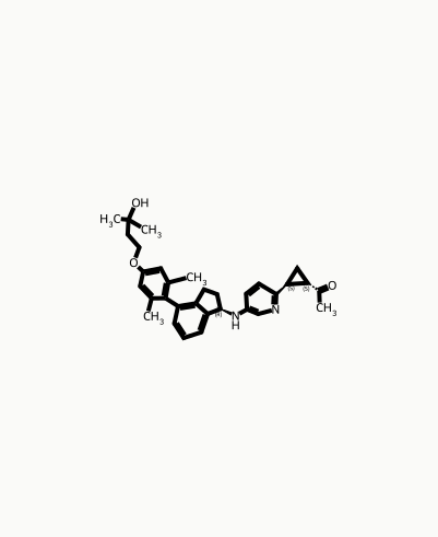 CC(=O)[C@H]1C[C@@H]1c1ccc(N[C@@H]2CCc3c(-c4c(C)cc(OCCC(C)(C)O)cc4C)cccc32)cn1